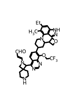 CCc1cc2[nH]ncc2c(N2CCC(c3ccc4c(C5N(C=CC=O)CC56CCNCC6)ncnc4c3OCC(F)(F)F)CC2C2COC2)c1C